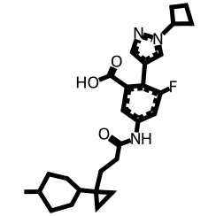 CC1CCC(C2(CCC(=O)Nc3cc(F)c(-c4cnn(C5CCC5)c4)c(C(=O)O)c3)CC2)CC1